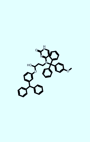 COc1ccc(C(c2ccccc2)(c2ccccc2)N(CCC(O)Oc2cccc(C(c3ccccc3)c3ccccc3)c2)c2cc[nH]c(=O)n2)cc1